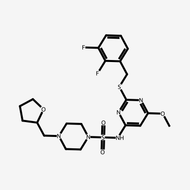 COc1cc(NS(=O)(=O)N2CCN(CC3CCCO3)CC2)nc(SCc2cccc(F)c2F)n1